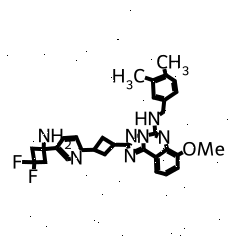 COc1cccc2c1nc(NCc1ccc(C)c(C)c1)n1nc(C3CC(c4ccc(C5(N)CC(F)(F)C5)cn4)C3)nc21